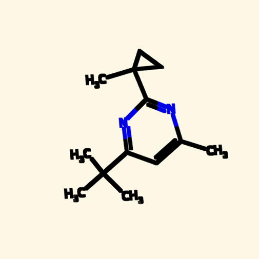 Cc1cc(C(C)(C)C)nc(C2(C)CC2)n1